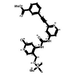 COC(=O)c1cccc(C#Cc2cc(NC(=O)Nc3cc(Cl)ncc3CO[Si](C)(C)C(C)(C)C)ccn2)c1